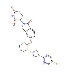 O=C1CCC(N2Cc3cc(O[C@@H]4CCCC[C@H]4N4CC(c5ncc(Br)cn5)C4)ccc3C2=O)C(=O)N1